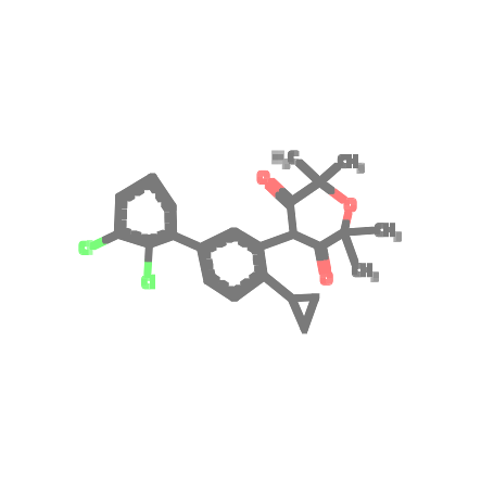 CC1(C)OC(C)(C)C(=O)C(c2cc(-c3cccc(Cl)c3Cl)ccc2C2CC2)C1=O